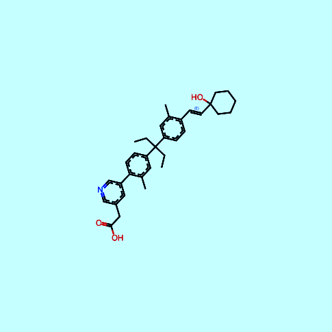 CCC(CC)(c1ccc(/C=C/C2(O)CCCCC2)c(C)c1)c1ccc(-c2cncc(CC(=O)O)c2)c(C)c1